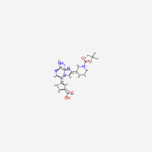 CC(C)(C)OC(=O)N1CCCC(c2cn3c(-c4cc(C(=O)O)cs4)cnc(N)c3n2)C1